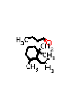 CCC1C(C)CCCC1(C)C.CCCC=O